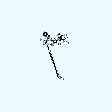 CCCCCCCCCCCCCCCCOCCCOC(=O)[C@@H](C)NP(=O)(OCC1O[C@@H](n2cc(C(N)=S)c3c(N)ncnc32)[C@H](O)[C@@H]1O)Oc1ccccc1